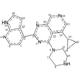 c1cc(-c2nc(N3CCNCC3)c3c(C4CC4)cncc3n2)c2cc[nH]c2n1